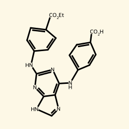 CCOC(=O)c1ccc(Nc2nc(Nc3ccc(C(=O)O)cc3)c3nc[nH]c3n2)cc1